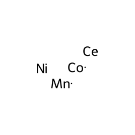 [Ce].[Co].[Mn].[Ni]